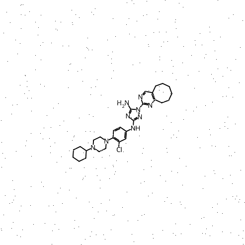 Nc1nc(Nc2ccc(N3CCN(C4CCCCC4)CC3)c(Cl)c2)nn1-c1ncc2c(n1)CCCCCC2